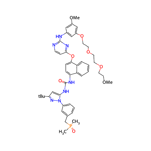 COCCOCCOCCOc1cc(Nc2nccc(Oc3ccc(NC(=O)Nc4cc(C(C)(C)C)nn4-c4cccc(CP(C)(C)=O)c4)c4ccccc34)n2)cc(OC)c1